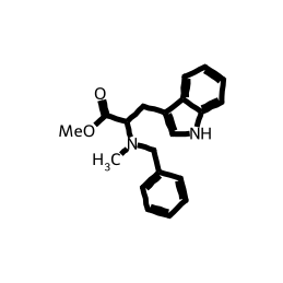 COC(=O)C(Cc1c[nH]c2ccccc12)N(C)Cc1ccccc1